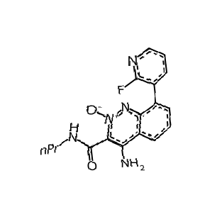 CCCNC(=O)c1c(N)c2cccc(-c3cccnc3F)c2n[n+]1[O-]